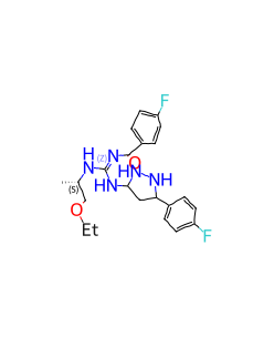 CCOC[C@H](C)N/C(=N/C(=O)c1ccc(F)cc1)NC1CC(c2ccc(F)cc2)NN1